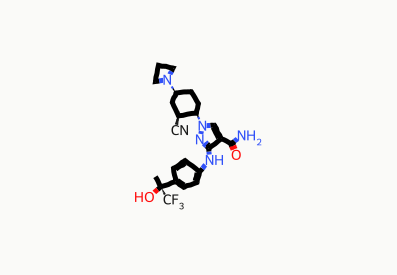 C[C@](O)(c1ccc(Nc2nn([C@H]3CC[C@@H](N4CCC4)C[C@@H]3C#N)cc2C(N)=O)cc1)C(F)(F)F